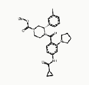 Cc1cccc([C@H]2CN(C(=O)OC(C)(C)C)CCN2C(=O)c2ccc(NC(=O)C3CC3)cc2N2CCCC2)c1